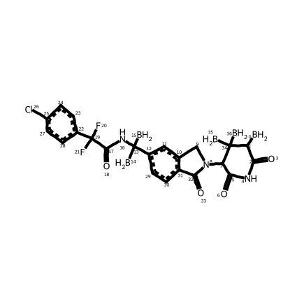 BC1C(=O)NC(=O)C(N2Cc3cc(C(B)(B)NC(=O)C(F)(F)c4ccc(Cl)cc4)ccc3C2=O)C1(B)B